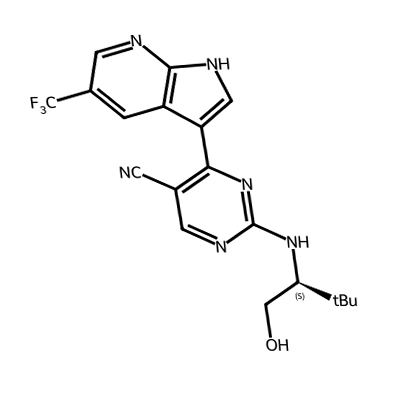 CC(C)(C)[C@@H](CO)Nc1ncc(C#N)c(-c2c[nH]c3ncc(C(F)(F)F)cc23)n1